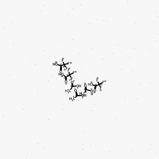 CC(=O)O.CC(=O)O.CC(=O)O.O=C(O)C(F)(F)F.O=C(O)C(F)(F)F.O=C(O)C(F)(F)F